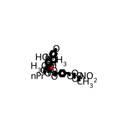 CCCC1O[C@@H]2C[C@H]3[C@@H]4CCC5=CC(=O)C=C[C@]5(C)[C@H]4[C@@H](O)C[C@]3(C)[C@]2(C(=O)COC(=O)c2ccc(COC(=O)OC(C)O[N+](=O)[O-])cc2)O1